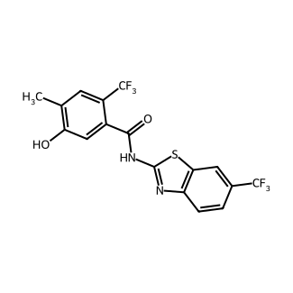 Cc1cc(C(F)(F)F)c(C(=O)Nc2nc3ccc(C(F)(F)F)cc3s2)cc1O